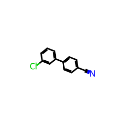 N#Cc1ccc(-c2cccc(Cl)c2)cc1